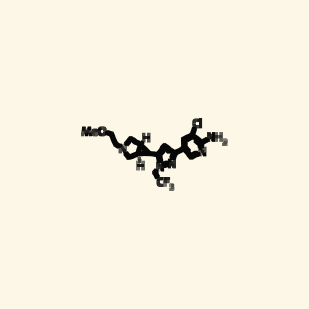 COCCN1C[C@@H]2C(c3cc(-c4cnc(N)c(Cl)c4)nn3CC(F)(F)F)[C@@H]2C1